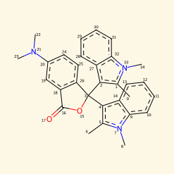 Cc1c(C2(c3c(C)n(C)c4ccccc34)OC(=O)c3cc(N(C)C)ccc32)c2ccccc2n1C